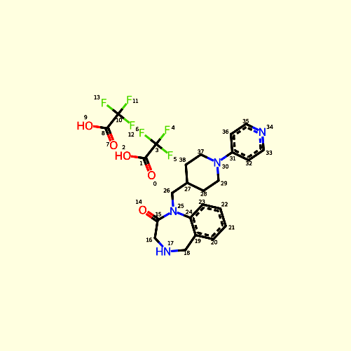 O=C(O)C(F)(F)F.O=C(O)C(F)(F)F.O=C1CNCc2ccccc2N1CC1CCN(c2ccncc2)CC1